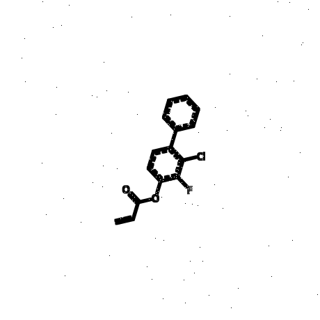 C=CC(=O)Oc1ccc(-c2ccccc2)c(Cl)c1F